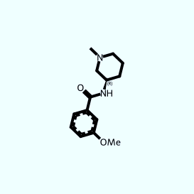 COc1cccc(C(=O)N[C@@H]2CCCN(C)C2)c1